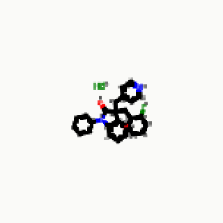 Cl.O=C1N(c2ccccc2)c2ccccc2C1(Cc1ccncc1)Cc1ccccc1F